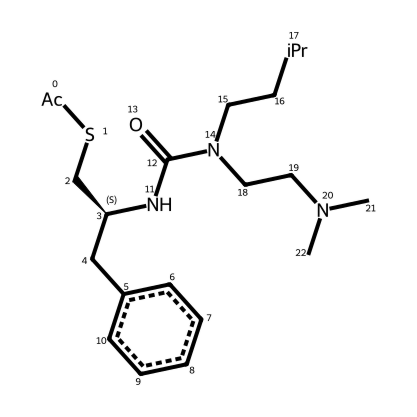 CC(=O)SC[C@H](Cc1ccccc1)NC(=O)N(CCC(C)C)CCN(C)C